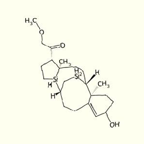 COCC(=O)[C@H]1CC[Si@H]2[C@H]3CCC4=CC(O)CC[C@]4(C)[C@@H](CC[C@]12C)[SiH2]C3